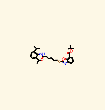 CC(C)c1cccc(C(C)C)c1NC(=O)CCCCCSc1nc2cccc(C(=O)OC(C)(C)C)c2o1